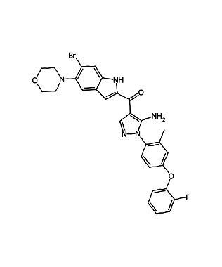 Cc1cc(Oc2ccccc2F)ccc1-n1ncc(C(=O)c2cc3cc(N4CCOCC4)c(Br)cc3[nH]2)c1N